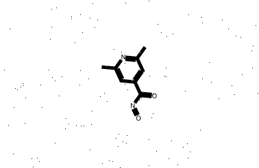 Cc1cc(C(=O)N=O)cc(C)n1